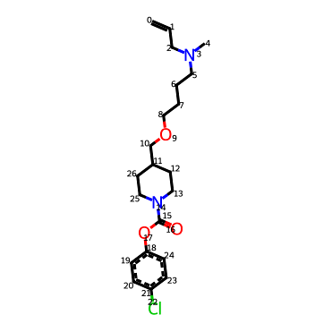 C=CCN(C)CCCCOCC1CCN(C(=O)Oc2ccc(Cl)cc2)CC1